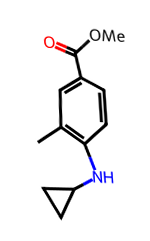 COC(=O)c1ccc(NC2CC2)c(C)c1